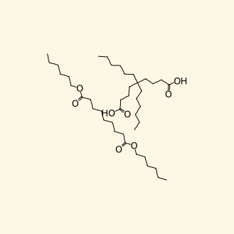 CCCCCCC(CCCCCC)(CCCC(=O)O)CCCC(=O)O.CCCCCCOC(=O)CCCCCCCC(=O)OCCCCCC